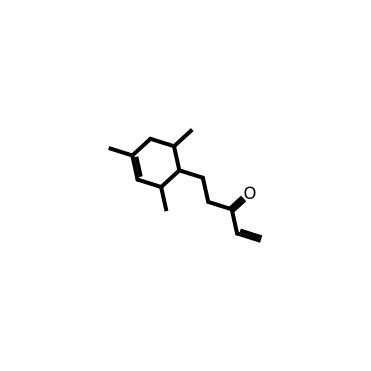 C=CC(=O)CCC1C(C)C=C(C)CC1C